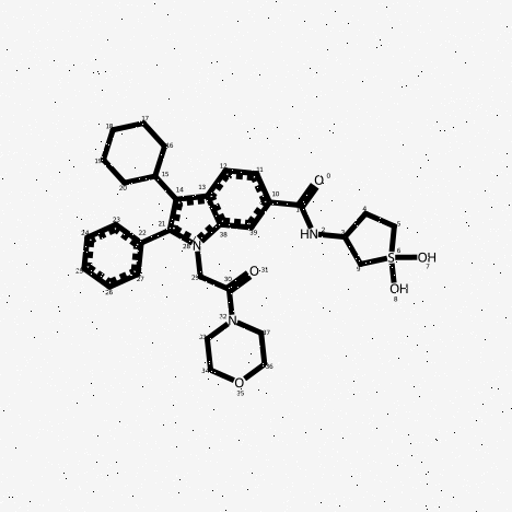 O=C(NC1CCS(O)(O)C1)c1ccc2c(C3CCCCC3)c(-c3ccccc3)n(CC(=O)N3CCOCC3)c2c1